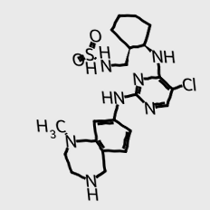 CN1CCNCc2ccc(Nc3ncc(Cl)c(N[C@@H]4CCCC[C@@H]4CN[SH](=O)=O)n3)cc21